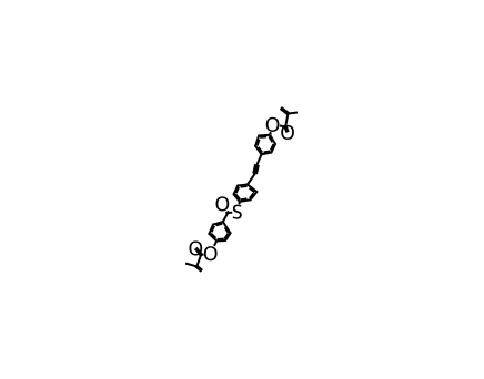 C=C(C)C(=O)Oc1ccc(C#Cc2ccc(SC(=O)c3ccc(OC(=O)C(=C)C)cc3)cc2)cc1